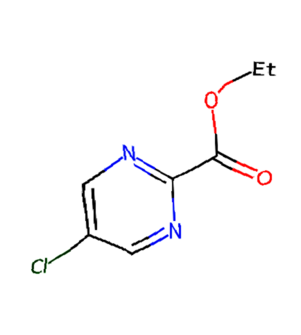 CCOC(=O)c1ncc(Cl)cn1